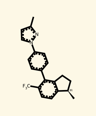 Cc1ccn(-c2ccc(-c3c(C(F)(F)F)ccc4c3CC[C@H]4C)cc2)n1